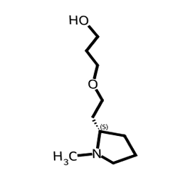 CN1CCC[C@H]1CCOCCCO